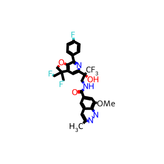 COc1cc(C(=O)NCC(O)(c2cc3c(c(-c4ccc(F)cc4)n2)OCC3(CF)CF)C(F)(F)F)cc2cc(C)nnc12